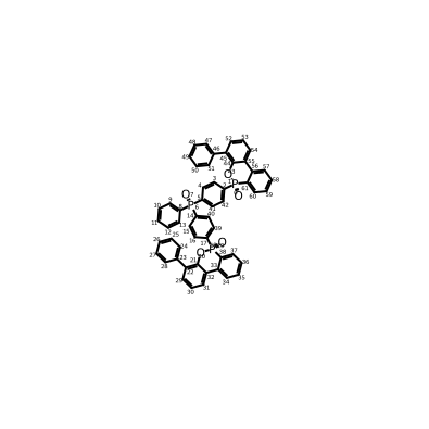 O=P1(c2ccc(P(=O)(c3ccccc3)c3ccc(P4(=O)Oc5c(-c6ccccc6)cccc5-c5ccccc54)cc3)cc2)Oc2c(-c3ccccc3)cccc2-c2ccccc21